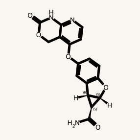 NC(=O)[C@@H]1[C@H]2Oc3ccc(Oc4ccnc5c4COC(=O)N5)cc3[C@H]21